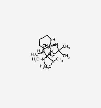 CC1CCCNP1(=NC(C)(C)C)N=P(N(C)C)(N(C)C)N(C)C